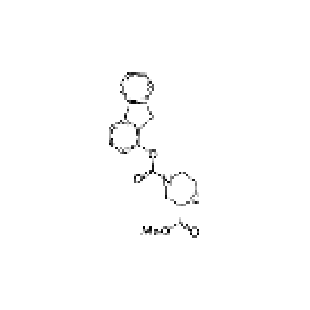 COC(=O)C1CN(C(=O)Oc2cccc3c2Cc2ccccc2-3)CCO1